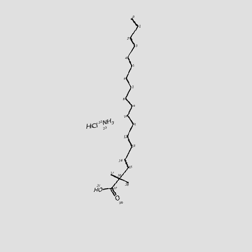 CCCCCCCCCCCCCCCCC(C)(C)C(=O)O.Cl.N